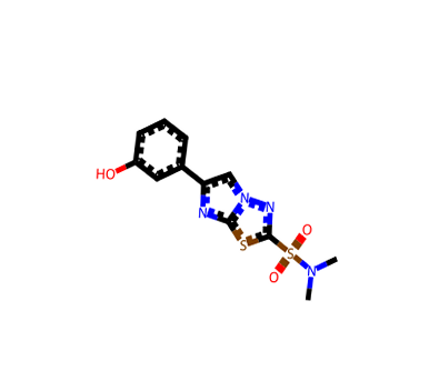 CN(C)S(=O)(=O)c1nn2cc(-c3cccc(O)c3)nc2s1